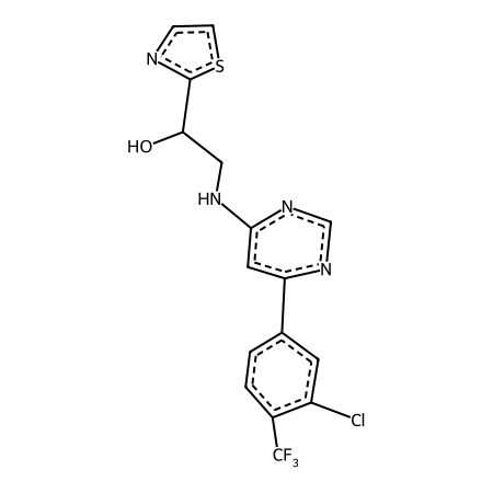 OC(CNc1cc(-c2ccc(C(F)(F)F)c(Cl)c2)ncn1)c1nccs1